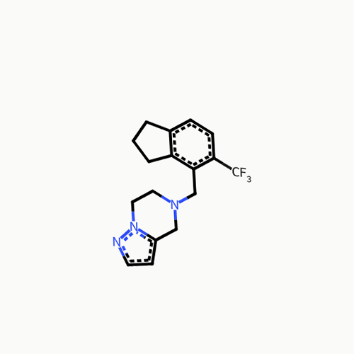 FC(F)(F)c1ccc2c(c1CN1CCn3nccc3C1)CCC2